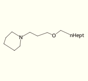 CCCCCCCCOCCCN1CCCCC1